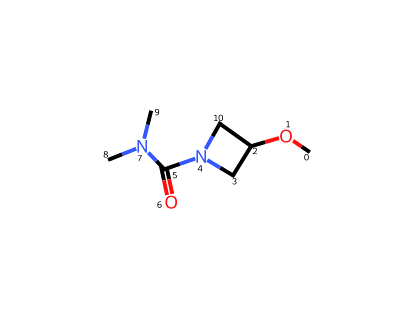 COC1CN(C(=O)N(C)C)C1